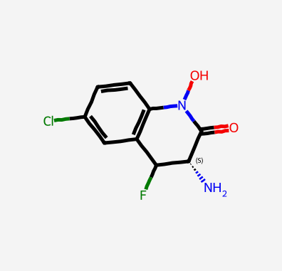 N[C@H]1C(=O)N(O)c2ccc(Cl)cc2C1F